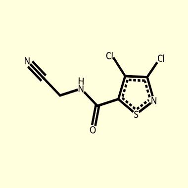 N#CCNC(=O)c1snc(Cl)c1Cl